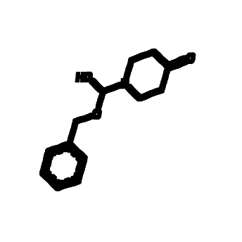 O=C1CCN(C(O)OCc2ccccc2)CC1